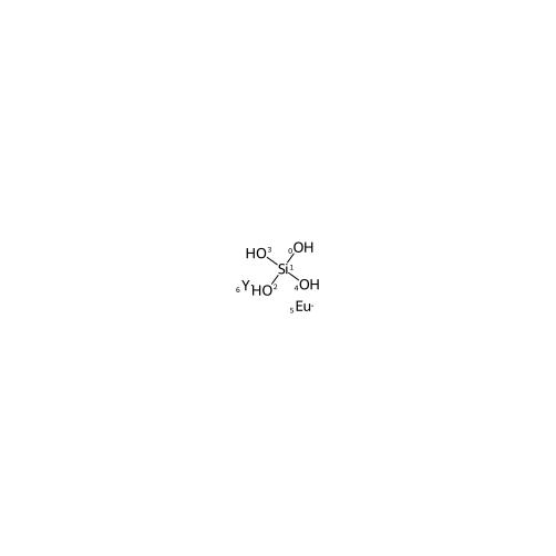 O[Si](O)(O)O.[Eu].[Y]